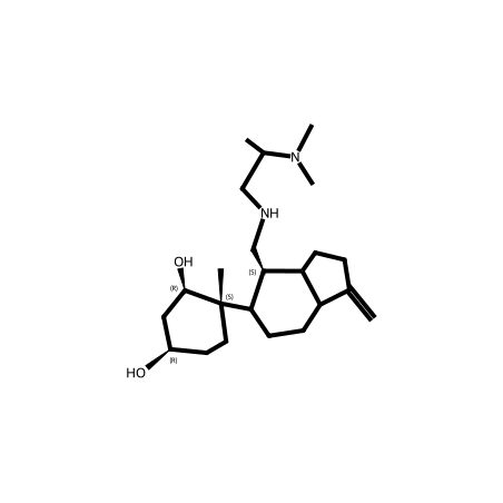 C=C1CCC2C1CCC([C@]1(C)CC[C@@H](O)C[C@H]1O)[C@H]2CNCC(C)N(C)C